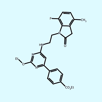 CCOC(=O)c1ccc(-c2cc(NCCN3C(=O)Cc4c(C)ccc(F)c43)nc(OCC)n2)cc1